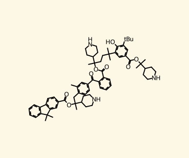 Cc1cc(C(=O)c2ccccc2C(=O)OC(C)(CCC(C)(C)c2cc(C(=O)OC(C)(C)C3CCNCC3)cc(C(C)(C)C)c2O)C2CCNCC2)ccc1CC(C)(OC(=O)c1ccc2c(c1)C(C)(C)c1ccccc1-2)C1CCNCC1